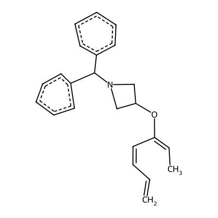 C=C/C=C\C(=C/C)OC1CN(C(c2ccccc2)c2ccccc2)C1